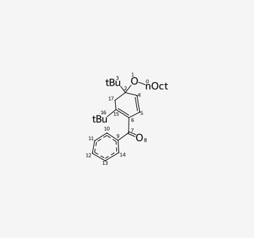 CCCCCCCCOC1(C(C)(C)C)C=CC(C(=O)c2ccccc2)=C(C(C)(C)C)C1